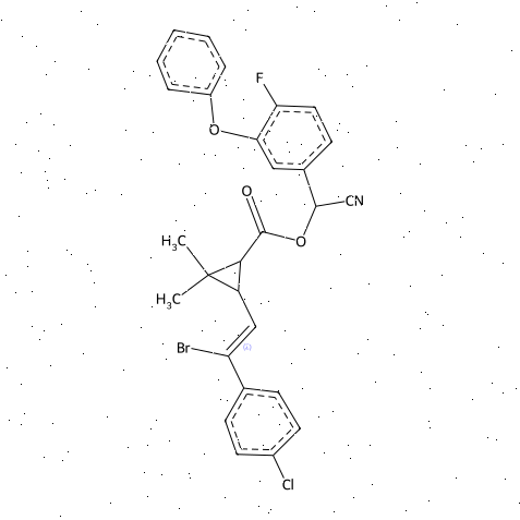 CC1(C)C(/C=C(\Br)c2ccc(Cl)cc2)C1C(=O)OC(C#N)c1ccc(F)c(Oc2ccccc2)c1